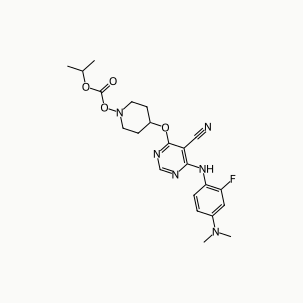 CC(C)OC(=O)ON1CCC(Oc2ncnc(Nc3ccc(N(C)C)cc3F)c2C#N)CC1